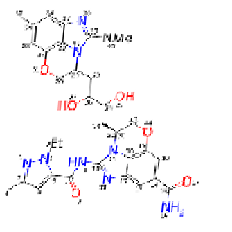 CCn1nc(C)cc1C(=O)Nc1nc2cc(C(N)=O)cc3c2n1[C@@H](CC(O)C(O)CC1COc2cc(C)cc4nc(NC)n1c24)CO3